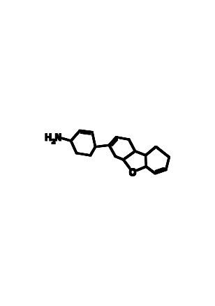 NC1C=CC(C2=CCC3C(C2)OC2C=CCCC23)CC1